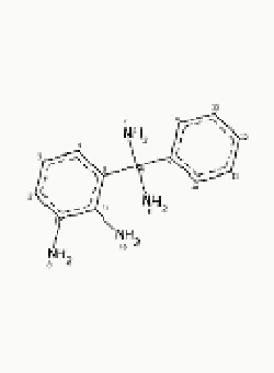 Nc1cccc(C(N)(N)c2ccccc2)c1N